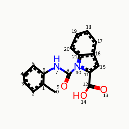 Cc1ccccc1NC(=O)n1c(C(=O)O)cc2ccccc21